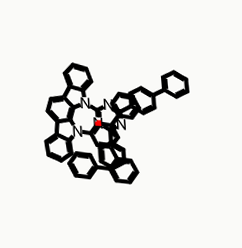 c1ccc(-c2ccc(-c3nc(-c4ccccc4)nc(-n4c5ccccc5c5ccc6c7ccccc7n(-c7cc(-c8ccccc8)cc(-c8ccccc8-c8ccccc8)c7)c6c54)n3)cc2)cc1